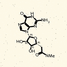 CNC(=O)C[C@H]1O[C@@H](n2cnc3c(=O)[nH]c(N)nc32)[C@H](O)[C@@H]1O